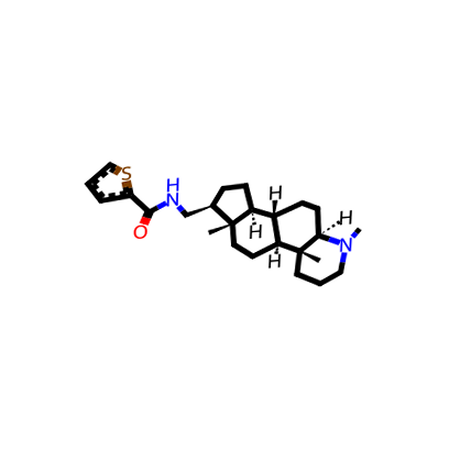 CN1CCC[C@]2(C)[C@H]3CC[C@]4(C)[C@@H](CNC(=O)c5cccs5)CC[C@H]4[C@@H]3CC[C@@H]12